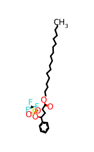 CCCCCCCCCCCCCCCCCCOC(=O)CCC(OS(=O)(=O)C(F)(F)F)c1ccccc1